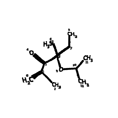 C=C(C)C(=O)C([SiH3])(CC)OC(C)C